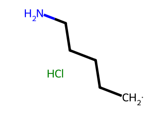 Cl.[CH2]CCCCN